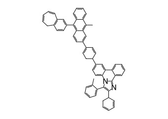 Cc1ccccc1-c1c(C2C=CC=CC2)nc2c3ccccc3c3cc(C4C=CC(c5ccc6c(-c7ccc8c(c7)C=CC=CC8)c7ccccc7c(C)c6c5)=CC4)ccc3n12